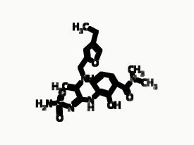 C=C(NCc1cc(CC)co1)/C(=N\S(N)(=O)=O)Nc1cccc(C(=O)N(C)C)c1O